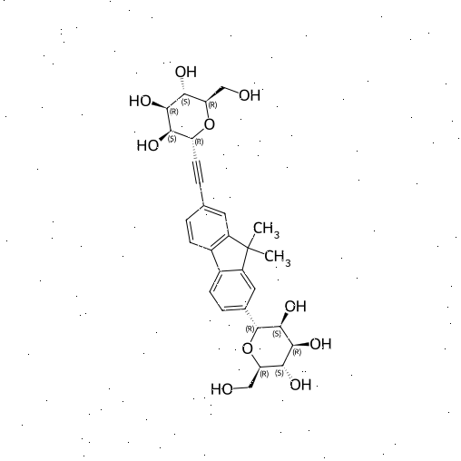 CC1(C)c2cc(C#C[C@H]3O[C@H](CO)[C@@H](O)[C@H](O)[C@@H]3O)ccc2-c2ccc([C@H]3O[C@H](CO)[C@@H](O)[C@H](O)[C@@H]3O)cc21